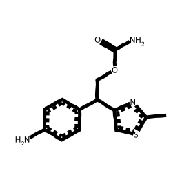 Cc1nc(C(COC(N)=O)c2ccc(N)cc2)cs1